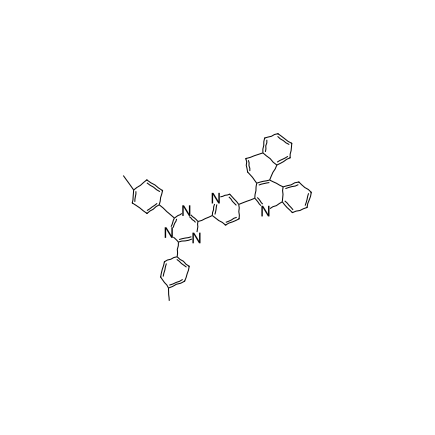 Cc1ccc(-c2nc(-c3ccc(C)cc3)nc(-c3ccc(-c4nc5ccccc5c5c4ccc4ccccc45)cn3)n2)cc1